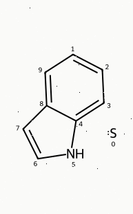 [S].c1ccc2[nH]ccc2c1